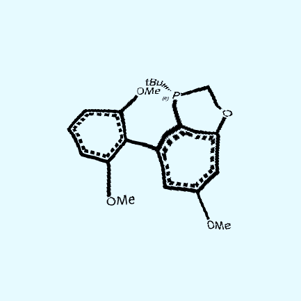 COc1cc2c(c(-c3c(OC)cccc3OC)c1)[P@](C(C)(C)C)CO2